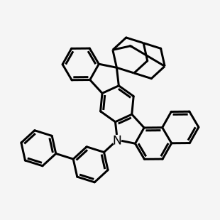 c1ccc(-c2cccc(-n3c4cc5c(cc4c4c6ccccc6ccc43)C3(c4ccccc4-5)C4CC5CC(C4)CC3C5)c2)cc1